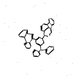 C/C=C1/c2ccccc2-c2cccc(C(C)C3C=C(c4cc5ccccc5c5ccccc45)C=C(N(c4c#cccc4)c4cccnc4)C3)c21